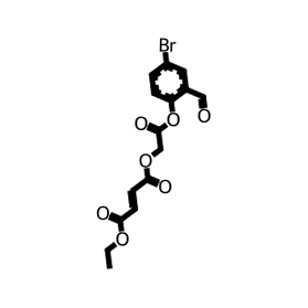 CCOC(=O)C=CC(=O)OCC(=O)Oc1ccc(Br)cc1C=O